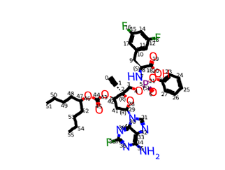 C#C[C@]1(CO[P@@](=O)(N[C@@H](Cc2cc(F)cc(F)c2)C(=O)O)Oc2ccccc2)O[C@@H](n2cnc3c(N)nc(F)nc32)C[C@@H]1OC(=O)OC(CCCC)CCCC